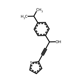 CC(C)c1ccc(C(O)C#Cc2cccs2)cc1